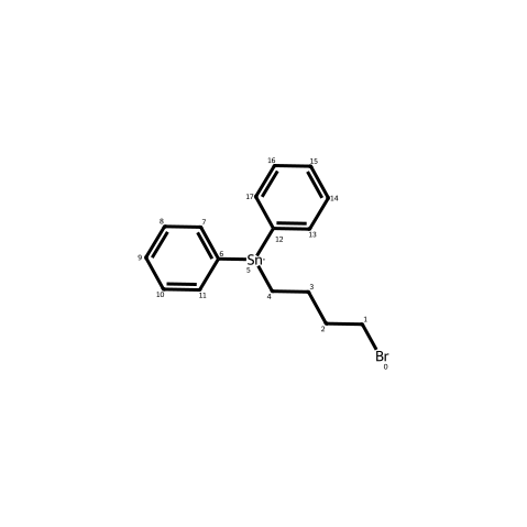 BrCCC[CH2][Sn]([c]1ccccc1)[c]1ccccc1